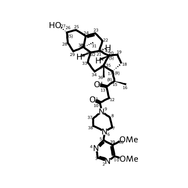 COc1ncnc(N2CCN(C(=O)CC(=O)[C@H](C)[C@H]3CC[C@H]4[C@@H]5CC=C6C[C@@H](O)CC[C@]6(C)[C@H]5CC[C@@]34C)CC2)c1OC